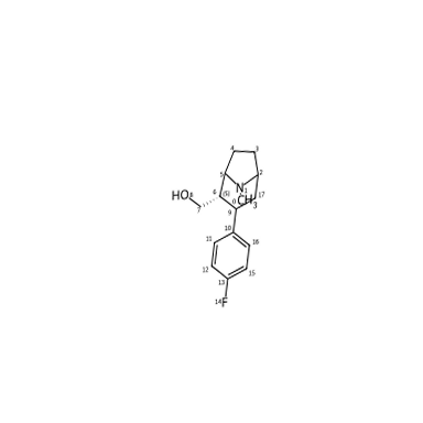 CN1C2CCC1[C@@H](CO)C(c1ccc(F)cc1)C2